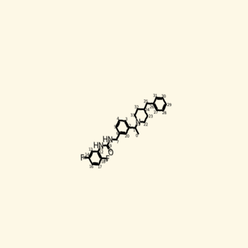 CC(c1cccc(CNC(=O)Nc2cc(F)ccc2F)c1)N1CCC(Cc2ccccc2)CC1